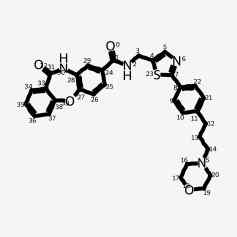 O=C(NCc1cnc(-c2ccc(CCCN3CCOCC3)cc2)s1)c1ccc2c(c1)NC(=O)c1ccccc1O2